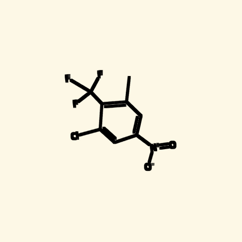 Cc1cc([N+](=O)[O-])cc(Cl)c1C(F)(F)F